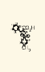 CN1CCN(S(=O)(=O)CC(Cc2ccccc2)C(=O)O)CC1